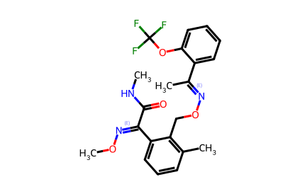 CNC(=O)/C(=N/OC)c1cccc(C)c1CO/N=C(\C)c1ccccc1OC(F)(F)F